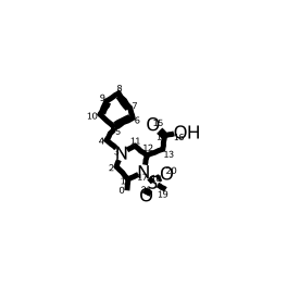 CC1CN(Cc2ccccc2)CC(CC(=O)O)N1S(C)(=O)=O